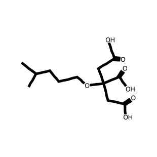 CC(C)CCCOC(CC(=O)O)(CC(=O)O)C(=O)O